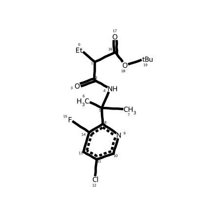 CCC(C(=O)NC(C)(C)c1ncc(Cl)cc1F)C(=O)OC(C)(C)C